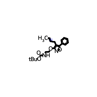 C/C=C/Cc1c(OCCNC(=O)OC(C)(C)C)noc1-c1ccccc1